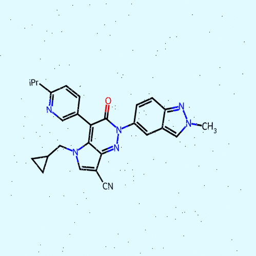 CC(C)c1ccc(-c2c(=O)n(-c3ccc4nn(C)cc4c3)nc3c(C#N)cn(CC4CC4)c23)cn1